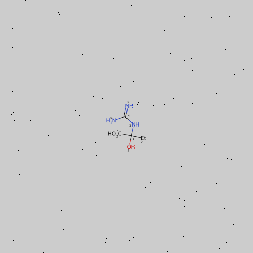 CCC(O)(NC(=N)N)C(=O)O